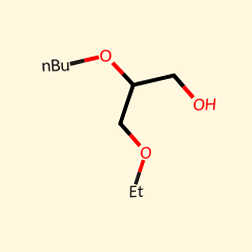 CCCCOC(CO)COCC